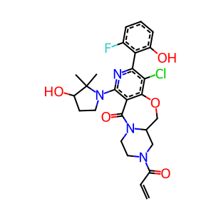 C=CC(=O)N1CCN2C(=O)c3c(N4CCC(O)C4(C)C)nc(-c4c(O)cccc4F)c(Cl)c3OCC2C1